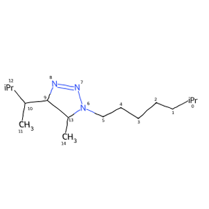 CC(C)CCCCCN1N=NC(C(C)C(C)C)C1C